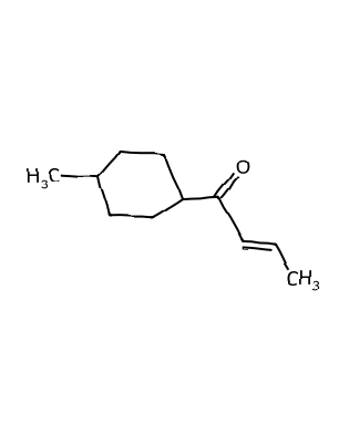 C/C=C/C(=O)C1CCC(C)CC1